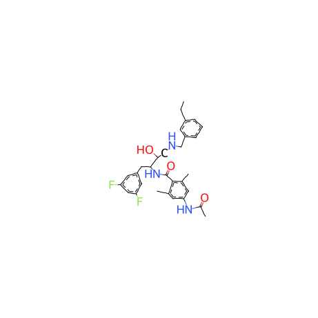 CCc1cccc(CNCC(O)C(Cc2cc(F)cc(F)c2)NC(=O)c2c(C)cc(NC(C)=O)cc2C)c1